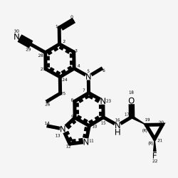 C=Cc1cc(N(C)c2cc3c(ncn3C)c(NC(=O)[C@H]3C[C@H]3F)n2)c(CC)cc1C#N